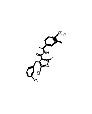 Cc1cc([C@H](C)NC(=O)c2c(Cl)sc(Cl)c2Cc2cccc(Cl)c2)ccc1C(=O)O